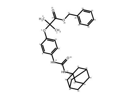 CC(C)(Oc1ccc(NC(=O)NC23CC4CC(CC(C4)C2)C3)cc1)C(=O)OCc1ccccc1